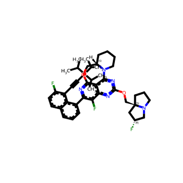 CC(C)[Si](C#Cc1c(F)ccc2cccc(-c3nc4c5c(nc(OC[C@@]67CCCN6C[C@H](F)C7)nc5c3F)N3CCCC[C@H]3CO4)c12)(C(C)C)C(C)C